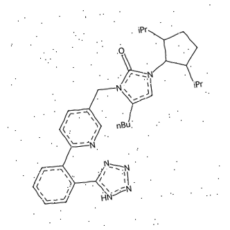 CCCCc1cn(C2C(C(C)C)CCC2C(C)C)c(=O)n1Cc1ccc(-c2ccccc2-c2nnn[nH]2)nc1